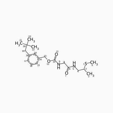 CSC(C)CNC(=O)CNC(=O)OCc1cccc(CC(C)(C)C)c1